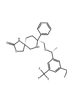 C[C@@H](OC[C@@]1(c2ccccc2)CC[C@]2(CN1)COC(=O)N2)c1cc(C(F)(F)F)cc(C(F)(F)F)c1